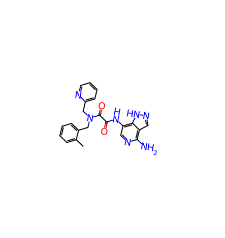 Cc1ccccc1CN(Cc1ccccn1)C(=O)C(=O)Nc1cnc(N)c2cn[nH]c12